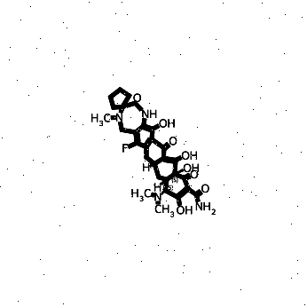 CN(C)[C@@H]1C(O)=C(C(N)=O)C(=O)[C@@]2(O)C(O)=C3C(=O)c4c(O)c5c(c(F)c4C[C@H]3C[C@@H]12)CN(C)C1(CCCC1)C(=O)N5